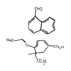 COCOC1=CC=C(C(=O)O)CC1(C)C(=O)O.O=Cc1cccc2ccccc12